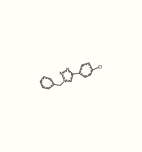 Clc1ccc(-c2cn(Cc3ccccc3)nn2)cc1